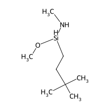 CN[SiH](CCC(C)(C)C)OC